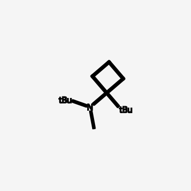 CN(C(C)(C)C)C1(C(C)(C)C)CCC1